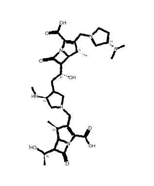 CN[C@@H]1CN(CC2=C(C(=O)O)N3C(=O)C([C@@H](C)O)C3[C@H]2C)CC1C[C@@H](O)C1C(=O)N2C(C(=O)O)=C(CN3CC[C@H](N(C)C)C3)[C@H](C)C12